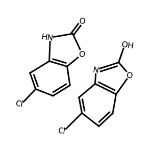 O=c1[nH]c2cc(Cl)ccc2o1.Oc1nc2cc(Cl)ccc2o1